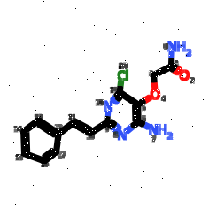 NC(=O)COc1c(N)nc(/C=C/c2ccccc2)nc1Cl